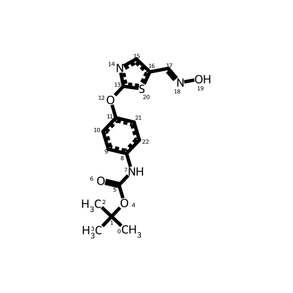 CC(C)(C)OC(=O)Nc1ccc(Oc2ncc(C=NO)s2)cc1